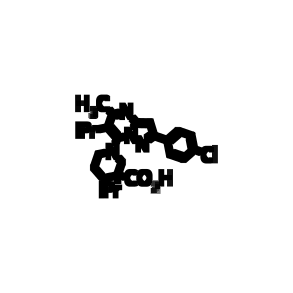 Cc1nc2cc(-c3ccc(Cl)cc3)nn2c(N2CCCC(C(=O)O)(C(C)C)C2)c1C(C)C